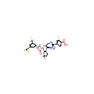 COc1cnc(-c2ccc(C(=O)O)c(F)c2)nc1C1=C(CN2C(=O)O[C@H](c3cc(C(F)(F)F)cc(C(F)(F)F)c3)C2C)CC(C)(C)CC1